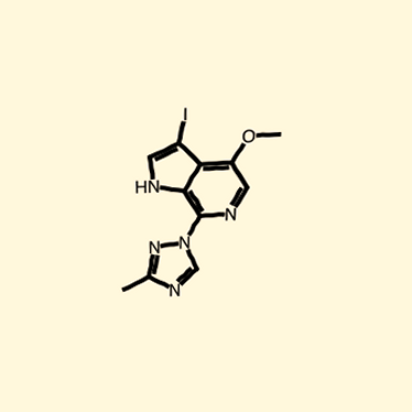 COc1cnc(-n2cnc(C)n2)c2[nH]cc(I)c12